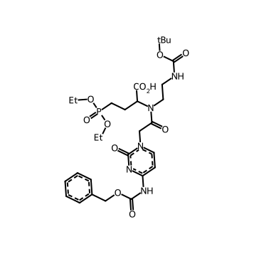 CCOP(=O)(CCC(C(=O)O)N(CCNC(=O)OC(C)(C)C)C(=O)Cn1ccc(NC(=O)OCc2ccccc2)nc1=O)OCC